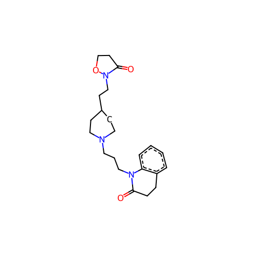 O=C1CCON1CCC1CCN(CCCN2C(=O)CCc3ccccc32)CC1